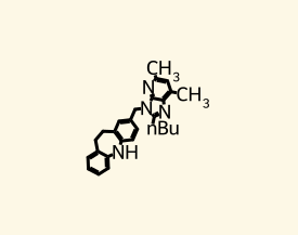 CCCCc1nc2c(C)cc(C)nc2n1Cc1ccc2c(c1)CCc1ccccc1N2